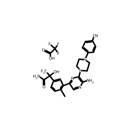 Cc1ccc(C(O)(C(N)=O)C(F)(F)F)cc1-c1cnc(N)c(N2CCN(c3ccc(C#N)cc3)CC2)n1.O=C(O)C(F)(F)F